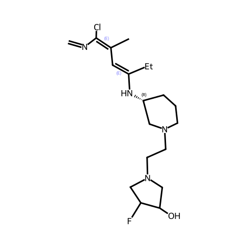 C=N/C(Cl)=C(C)\C=C(/CC)N[C@@H]1CCCN(CCN2CC(O)C(F)C2)C1